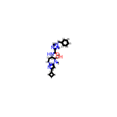 CN1c2cc(C3CCC3)nn2CC[C@H](NC(=O)c2ncn(Cc3ccccc3)n2)C1O